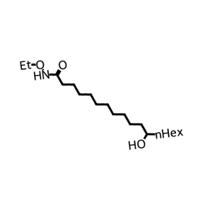 CCCCCCC(O)CCCCCCCCCCC(=O)NOCC